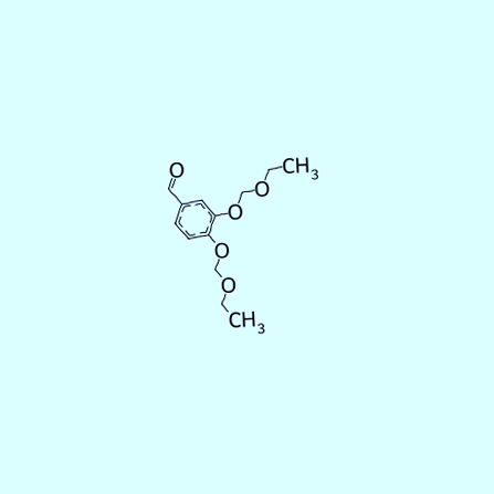 CCOCOc1ccc(C=O)cc1OCOCC